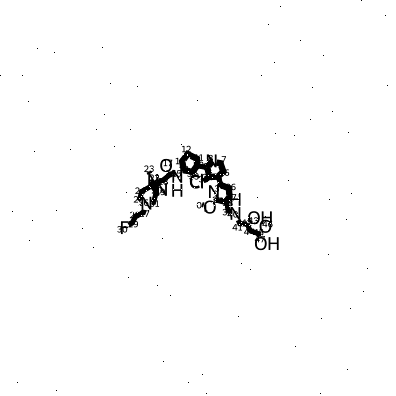 COc1nc(-c2ccnc(-c3cccc(NC(=O)c4nc5c(n4C)CCN(CCCF)C5)c3Cl)c2Cl)ccc1CNCC(O)CC(=O)O